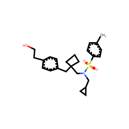 Cc1ccc(S(=O)(=O)N(CC2CC2)CC2(Cc3ccc(CCO)cc3)CCC2)cc1